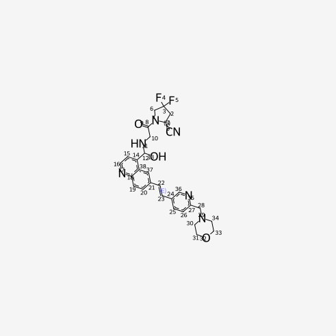 N#C[C@@H]1CC(F)(F)CN1C(=O)CNC(O)c1ccnc2ccc(/C=C/c3ccc(CN4CCOCC4)nc3)cc12